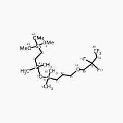 CO[Si](CC[Si](C)(C)O[Si](C)(C)CCCOCC(F)(F)CC(F)(F)F)(OC)OC